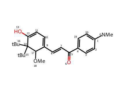 CNc1ccc(C(=O)/C=C/C2=CC=C(O)C(C(C)(C)C)(C(C)(C)C)C2OC)cc1